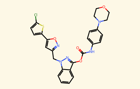 O=C(Nc1ccc(N2CCOCC2)cc1)Oc1nn(Cc2cc(-c3ccc(Cl)s3)on2)c2ccccc12